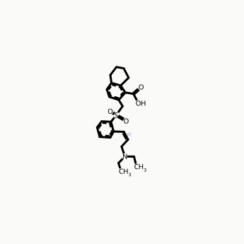 CCN(CC)C/C=C\c1ccccc1S(=O)(=O)Cc1ccc2c(c1C(=O)O)CCCC2